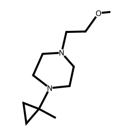 COCCN1CCN(C2(C)CC2)CC1